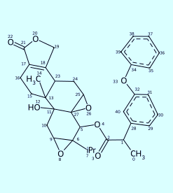 CC(C(=O)OC1C2(C(C)C)OC2CC2(O)C3(C)CCC4=C(COC4=O)C3CC3OC312)c1cccc(Oc2ccccc2)c1